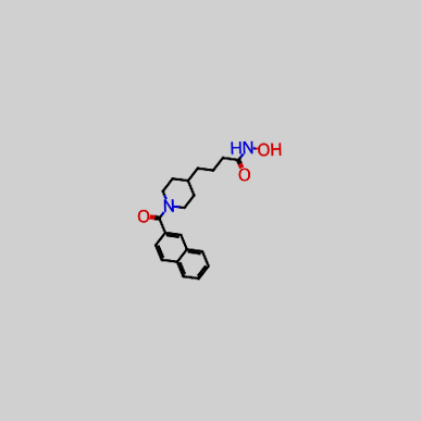 O=C(CCCC1CCN(C(=O)c2ccc3ccccc3c2)CC1)NO